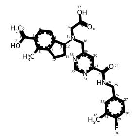 C=C(O)c1ccc2c(c1C)CC[C@@H]2N(CC(=O)O)Cc1cc(C(=O)NCc2ccc(F)c(C)c2)ncn1